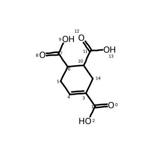 O=C(O)C1=CCC(C(=O)O)C(C(=O)O)C1